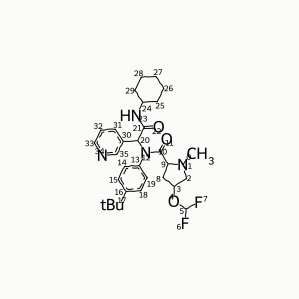 CN1CC(OC(F)F)CC1C(=O)N(c1ccc(C(C)(C)C)cc1)C(C(=O)NC1CCCCC1)c1cccnc1